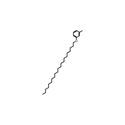 CCCCCCCCCCCCCCCCCCCCCOc1cccc(C)c1